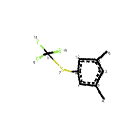 Cc1cc(C)cc(SC(F)(F)F)c1